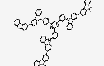 CC1(C)c2ccccc2-c2cc(-c3ccc4c(c3)c3ccccc3n4-c3cccc(-c4cc(-c5ccc(C6c7ccccc7-c7cc(-c8ccc9c(c8)-c8ccccc8C9)ccc76)cc5)nc(-c5cccc(-n6c7ccccc7c7cc(-c8ccc9c(c8)-c8ccccc8C9(C)C)ccc76)c5)n4)c3)ccc21